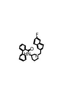 O=C(NC1CCCN(Cc2ccc3cc(F)ccc3c2)C1)c1ccccc1-c1ccccc1